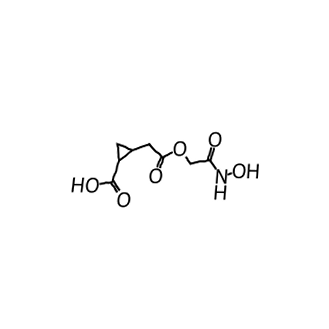 O=C(COC(=O)CC1CC1C(=O)O)NO